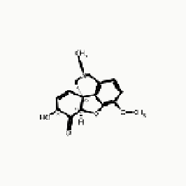 COc1ccc2c3c1O[C@H]1C(=O)[C@@H](O)C=C[C@@]31CCN(C)C2